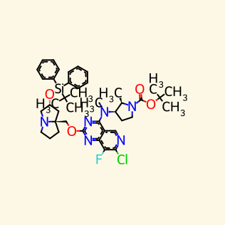 C[C@@H]1[C@H](N(C)c2nc(OC[C@@]34CCCN3C[C@H](O[Si](c3ccccc3)(c3ccccc3)C(C)(C)C)C4)nc3c(F)c(Cl)ncc23)CCN1C(=O)OC(C)(C)C